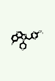 Fc1ccc2ncc3nc(Cc4cnc(C(F)(F)F)cn4)n(C4CCOCC4)c3c2c1